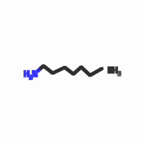 B.CCCCCCCN